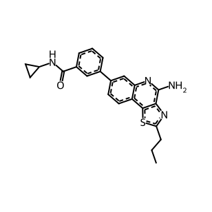 CCCc1nc2c(N)nc3cc(-c4cccc(C(=O)NC5CC5)c4)ccc3c2s1